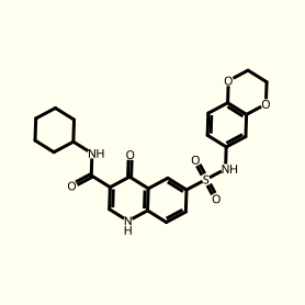 O=C(NC1CCCCC1)c1c[nH]c2ccc(S(=O)(=O)Nc3ccc4c(c3)OCCO4)cc2c1=O